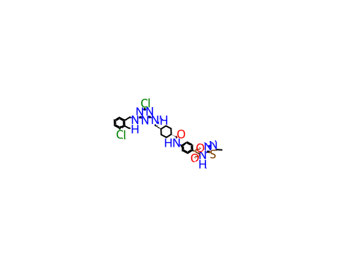 Cc1nnc(NS(=O)(=O)c2ccc(NC(=O)[C@H]3CC[C@H](CNc4nc(Cl)nc(NCc5cccc(Cl)c5C)n4)CC3)cc2)s1